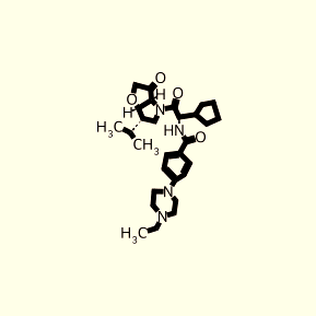 CCN1CCN(c2ccc(C(=O)N[C@H](C(=O)N3C[C@H](C(C)C)[C@H]4OCC(=O)[C@H]43)C3CCCC3)cc2)CC1